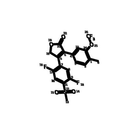 Cc1ccc(C2=C(c3cc(F)c(S(C)(=O)=O)cc3F)COC2=O)cc1OC(F)(F)F